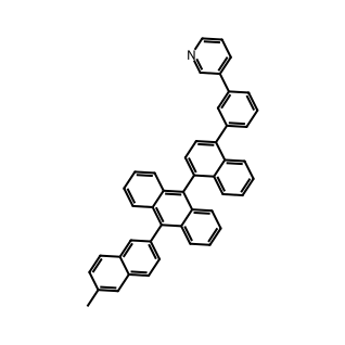 Cc1ccc2cc(-c3c4ccccc4c(-c4ccc(-c5cccc(-c6cccnc6)c5)c5ccccc45)c4ccccc34)ccc2c1